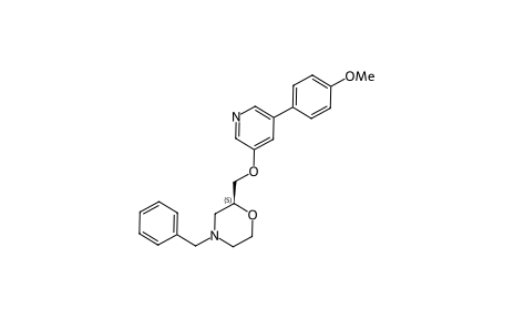 COc1ccc(-c2cncc(OC[C@@H]3CN(Cc4ccccc4)CCO3)c2)cc1